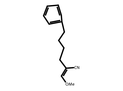 CO/C=C(\C#N)CCCCc1ccccc1